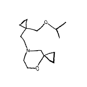 CC(C)OCC1(CN2CCOC3(CC3)C2)CC1